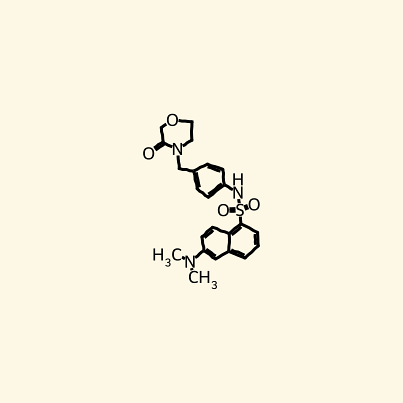 CN(C)c1ccc2c(S(=O)(=O)Nc3ccc(CN4CCOCC4=O)cc3)cccc2c1